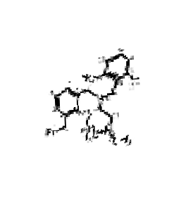 CC(C)Cc1cccc(CN(Cc2c(O)cccc2F)[C@@H](CC(C)C)CN(C)C)c1